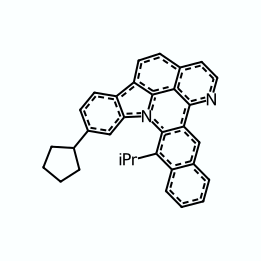 CC(C)c1c2ccccc2cc2c3nccc4ccc5c6ccc(C7CCCC7)cc6n(c12)c5c43